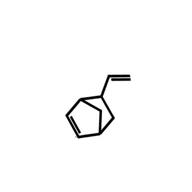 C=CC1CC2[C]=CC1C2